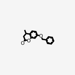 CC1CC(=O)Oc2cc(OCc3ccccc3)ccc21